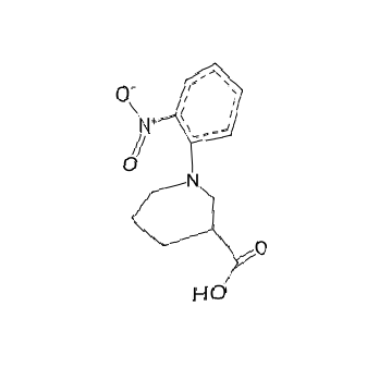 O=C(O)C1CCCN(c2ccccc2[N+](=O)[O-])C1